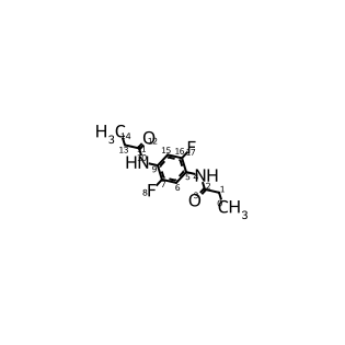 CCC(=O)Nc1cc(F)c(NC(=O)CC)cc1F